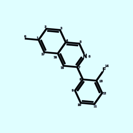 Cc1ccc2cnc(-c3ccccc3F)cc2c1